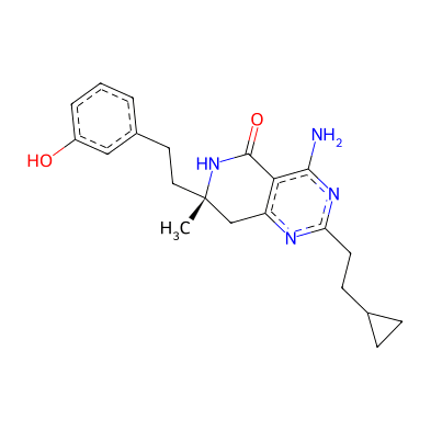 C[C@]1(CCc2cccc(O)c2)Cc2nc(CCC3CC3)nc(N)c2C(=O)N1